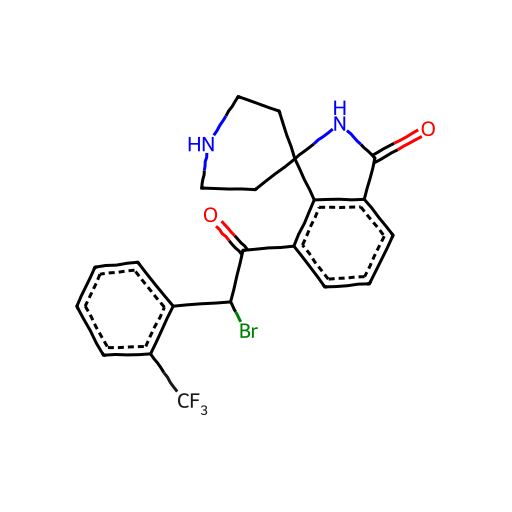 O=C1NC2(CCNCC2)c2c1cccc2C(=O)C(Br)c1ccccc1C(F)(F)F